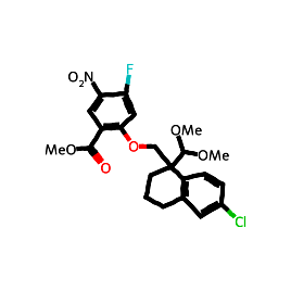 COC(=O)c1cc([N+](=O)[O-])c(F)cc1OCC1(C(OC)OC)CCCc2cc(Cl)ccc21